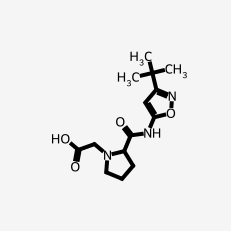 CC(C)(C)c1cc(NC(=O)C2CCCN2CC(=O)O)on1